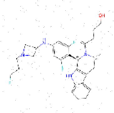 C=C(CCCO)N1[C@H](c2c(F)cc(NC3CN(CCCF)C3)cc2F)c2[nH]c3ccccc3c2C[C@H]1C